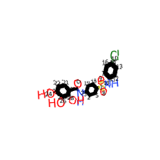 O=C(Nc1ccc(S(=O)(=O)Nc2ccc(Cl)cc2)cc1)c1ccc(O)c(O)c1O